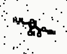 CC(C)(C)OC(=O)c1coc(CN)c1C#N